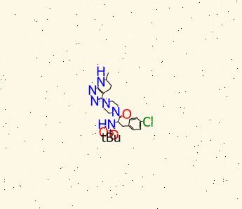 CC1CCc2c(ncnc2N2CCN(C(=O)C(Cc3ccc(Cl)cc3)NC(=O)OC(C)(C)C)CC2)N1